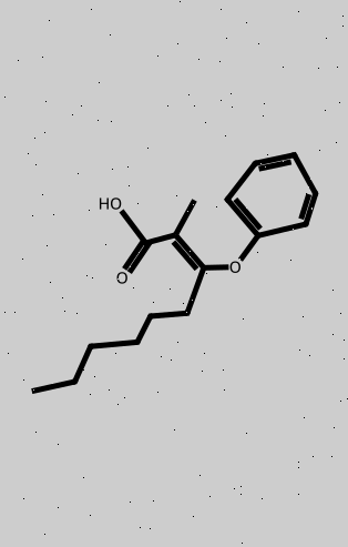 CCCCCCC(Oc1ccccc1)=C(C)C(=O)O